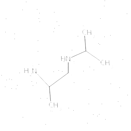 CC(N)CNC(C)C